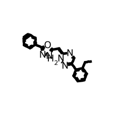 CCc1ccccc1C(/C=N\C(N)=C\c1nnc(-c2cc#ccc2)o1)=N/C